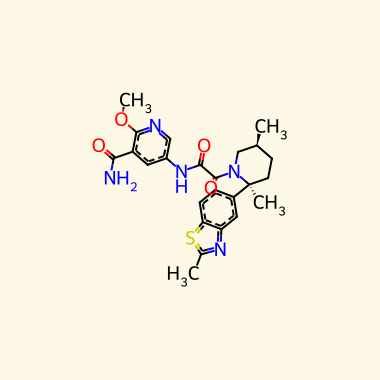 COc1ncc(NC(=O)C(=O)N2C[C@@H](C)CC[C@@]2(C)c2ccc3sc(C)nc3c2)cc1C(N)=O